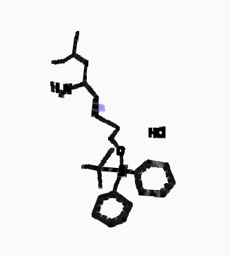 CC(C)CC(N)/C=C/CCO[Si](c1ccccc1)(c1ccccc1)C(C)(C)C.Cl